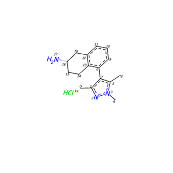 Cc1nn(C)c(C)c1-c1cccc2c1CC[C@H](N)C2.Cl